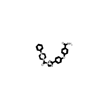 NC(=O)c1ccc(Oc2ccc(-c3ncn(C(=O)N4CCN(c5ccccc5)CC4)n3)cc2)cc1